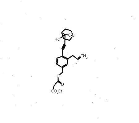 C=CCc1cc(COC(=O)CC(=O)OCC)ccc1C#CC1(O)CN2CCC1CC2